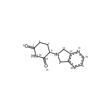 O=C1CCC(N2Cc3nccnc3C2)C(=O)N1